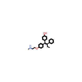 CC/C(=C(/c1ccc(O)cc1)c1ccc(OCCNC)cc1)c1ccccc1